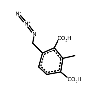 Cc1c(C(=O)O)ccc(CN=[N+]=[N-])c1C(=O)O